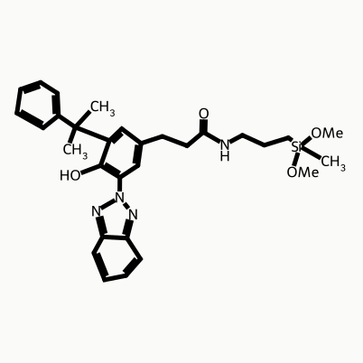 CO[Si](C)(CCCNC(=O)CCc1cc(-n2nc3ccccc3n2)c(O)c(C(C)(C)c2ccccc2)c1)OC